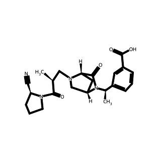 C[C@H](c1cccc(C(=O)O)c1)N1C(=O)[C@@H]2C[C@H]1CN2C[C@H](C)C(=O)N1CCC[C@H]1C#N